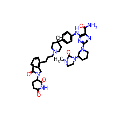 CN1CCN([C@@H]2CCCN(c3cnc(C(N)=O)c(Nc4ccc(C5(C)CCN(CCCc6cccc7c6CN(C6CCC(=O)NC6=O)C7=O)CC5)cc4)n3)C2)C1=O